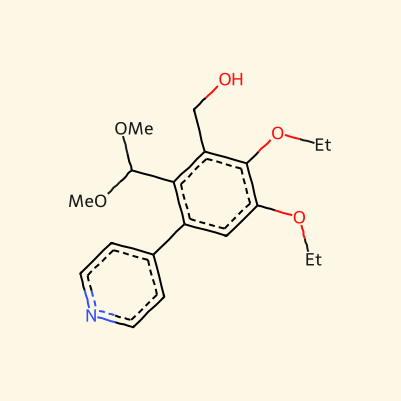 CCOc1cc(-c2ccncc2)c(C(OC)OC)c(CO)c1OCC